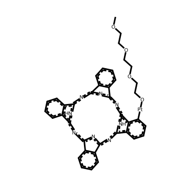 COCCOCCOCC[O][Pt][c]1cccc2c3nc4nc(nc5[nH]c(nc6nc(nc([nH]3)c12)-c1ccccc1-6)c1ccccc51)-c1ccccc1-4